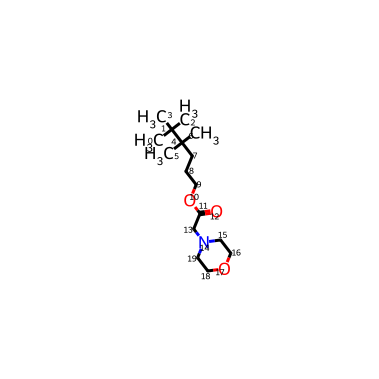 CC(C)(C)C(C)(C)CCCOC(=O)CN1CCOCC1